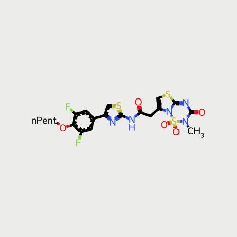 CCCCCOc1c(F)cc(-c2csc(NC(=O)CC3=CSC4=NC(=O)N(C)S(=O)(=O)N34)n2)cc1F